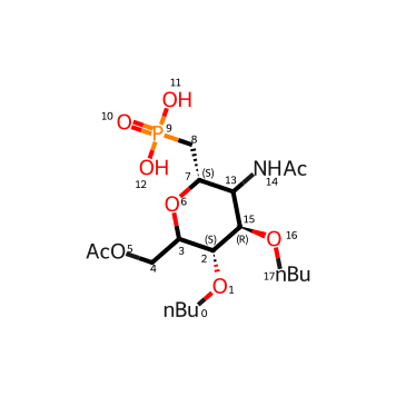 CCCCO[C@@H]1C(COC(C)=O)O[C@H](CP(=O)(O)O)C(NC(C)=O)[C@H]1OCCCC